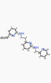 CNc1cccc(NCCc2cccc(NCc3ccccn3)n2)n1